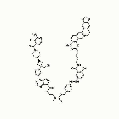 COc1ccc2cc3[n+](cc2c1OC(=O)CCCCNC(=O)c1cc(NNc2ccc(COC(=O)N(C)CCN(C)C(=O)n4ccc5c(-c6cnn(C7(CC#N)CN(C8CCN(C(=O)c9ccnc(C(F)(F)F)c9F)CC8)C7)c6)ncnc54)cc2)ccc1O)CCc1cc2c(cc1-3)OCO2